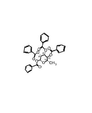 C[C@@H]1OC(OC(=O)c2ccccc2)[C@H](OC(=O)c2ccccc2)[C@H](OC(=O)c2ccccc2)[C@H]1OC(=O)c1ccccc1